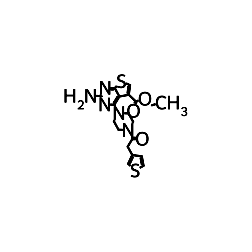 CCOC(=O)c1csc2nc(N)nc(N3CCN(C(=O)Cc4ccsc4)CC3)c12